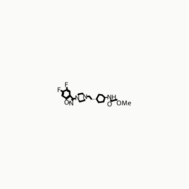 COCC(=O)N[C@H]1CC[C@H](CCN2CCN(c3noc4cc(F)c(F)cc34)CC2)CC1